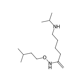 C=C(CCCCNC(C)C)NOCCC(C)C